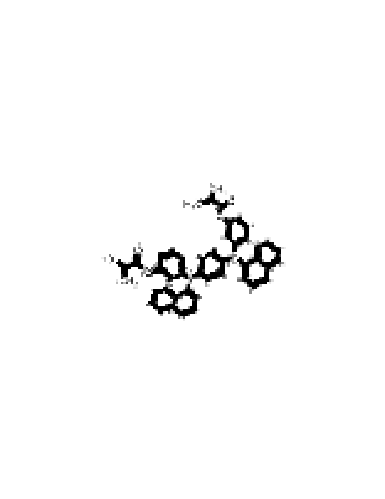 C=C(C)C(=O)Oc1cccc(N(c2ccc(N(c3cccc(OC(=O)C(=C)C)c3)c3cccc4ccccc34)cc2)c2cccc3ccccc23)c1